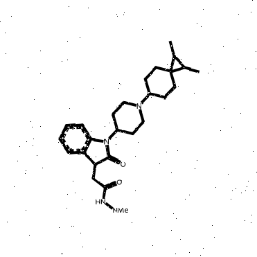 CNNC(=O)CC1C(=O)N(C2CCN(C3CCC4(CC3)C(C)C4C)CC2)c2ccccc21